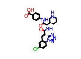 O=C(C=Cc1cc(Cl)ccc1-n1cnnn1)N[C@H](C(=O)Nc1ccc(C(=O)O)cc1)[C@@H]1CCCNC1